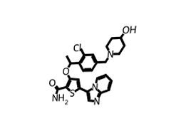 CC(Oc1cc(-c2cnc3ccccn23)sc1C(N)=O)c1ccc(CN2CCC(O)CC2)cc1Cl